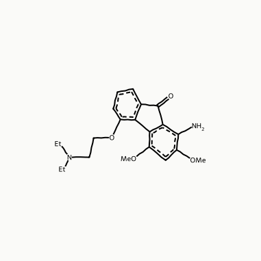 CCN(CC)CCOc1cccc2c1-c1c(OC)cc(OC)c(N)c1C2=O